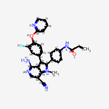 C=CC(=O)Nc1ccc(-c2c(-c3ccc(Oc4ccccn4)c(F)c3)c3c(N)ncc(C#N)c3n2C)cc1